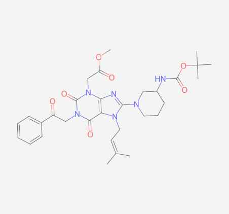 COC(=O)Cn1c(=O)n(CC(=O)c2ccccc2)c(=O)c2c1nc(N1CCCC(NC(=O)OC(C)(C)C)C1)n2CC=C(C)C